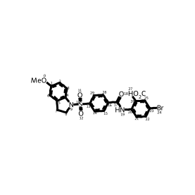 COc1ccc2c(c1)CCN2S(=O)(=O)c1ccc(C(=O)Nc2ccc(Br)cc2C(=O)O)cc1